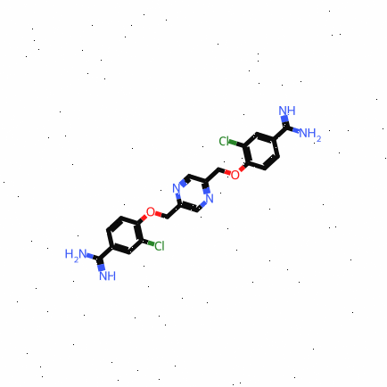 N=C(N)c1ccc(OCc2cnc(COc3ccc(C(=N)N)cc3Cl)cn2)c(Cl)c1